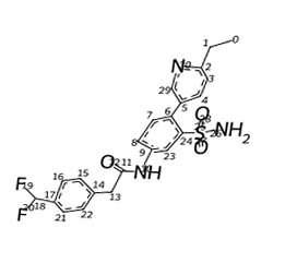 CCc1ccc(-c2ccc(NC(=O)Cc3ccc(C(F)F)cc3)cc2S(N)(=O)=O)cn1